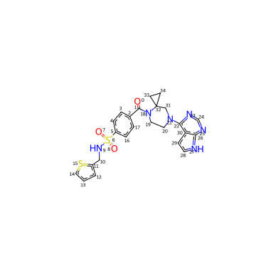 O=C(c1ccc(S(=O)(=O)NCc2cccs2)cc1)N1CCN(c2ncnc3[nH]ccc23)CC12CC2